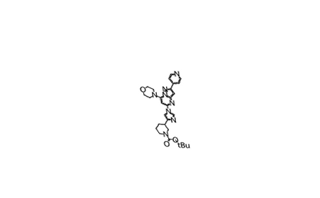 CC(C)(C)OC(=O)N1CCCC(c2cn(-c3cc(N4CCOCC4)n4nc(-c5ccncc5)cc4n3)cn2)C1